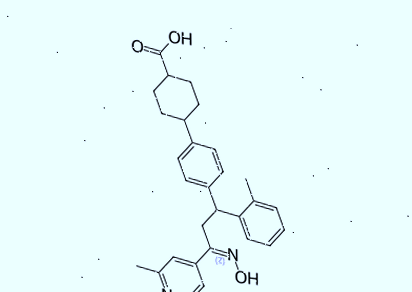 Cc1cc(/C(CC(c2ccc(C3CCC(C(=O)O)CC3)cc2)c2ccccc2C)=N\O)ccn1